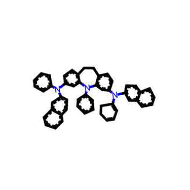 C1=CCCC(N(c2ccc3c(c2)N(c2ccccc2)c2cc(N(c4ccccc4)c4ccc5ccccc5c4)ccc2CC3)c2ccc3ccccc3c2)=C1